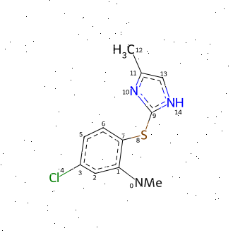 CNc1cc(Cl)ccc1Sc1nc(C)c[nH]1